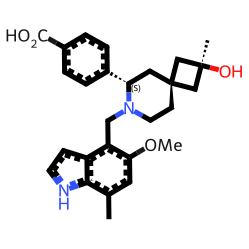 COc1cc(C)c2[nH]ccc2c1CN1CC[C@]2(C[C@H]1c1ccc(C(=O)O)cc1)C[C@](C)(O)C2